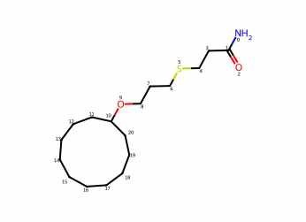 NC(=O)CCSCCCOC1CCCCCCCCCC1